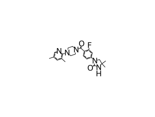 Cc1cnc(N2CCN(C(=O)c3ccc(N4CC(C)(C)NC4=O)cc3F)CC2)c(C)c1